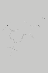 C=C(c1cc(C(C)(C)C)cc(C(C)(C)C)c1)C(O)C(=O)O